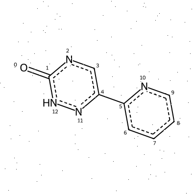 O=c1ncc(-c2ccccn2)n[nH]1